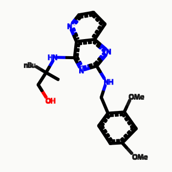 CCCCC(C)(CO)Nc1nc(NCc2ccc(OC)cc2OC)nc2cccnc12